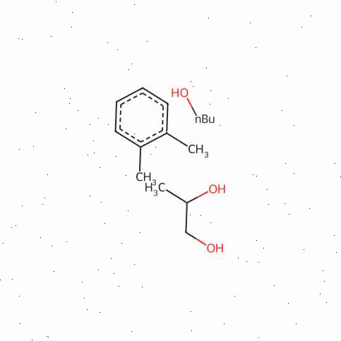 CC(O)CO.CCCCO.Cc1ccccc1C